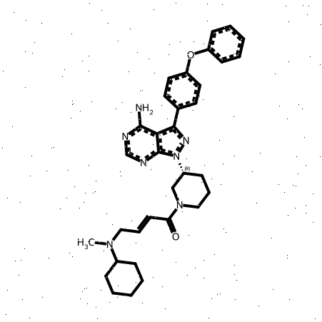 CN(CC=CC(=O)N1CCC[C@@H](n2nc(-c3ccc(Oc4ccccc4)cc3)c3c(N)ncnc32)C1)C1CCCCC1